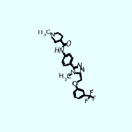 CN1CCC(C(=O)Nc2ccc(-c3nnc(COc4cccc(C(F)(F)F)c4)n3C)cc2)CC1